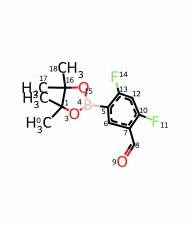 CC1(C)OB(c2cc(C=O)c(F)cc2F)OC1(C)C